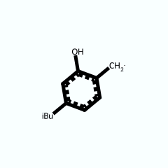 [CH2]c1ccc(C(C)CC)cc1O